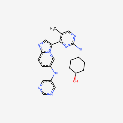 Cc1cnc(N[C@H]2CC[C@H](O)CC2)nc1-c1cnc2ccc(Nc3cncnc3)cn12